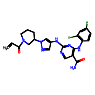 C=CC(=O)N1CCCC(n2cc(Nc3ncc(C(N)=O)c(Nc4ccc(F)cc4F)n3)cn2)C1